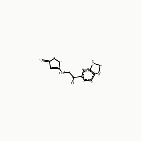 O=C1C=C(NCC(Cl)c2ccc3c(c2)OCO3)CC1